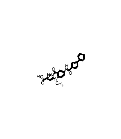 Cn1c2ccc(NC(=O)c3ccc(-c4ccccc4)cc3)cc2c(=O)n2nc(C(=O)O)cc12